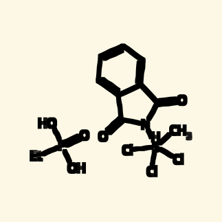 CCP(=O)(O)O.C[SH](Cl)(Cl)(Cl)N1C(=O)c2ccccc2C1=O